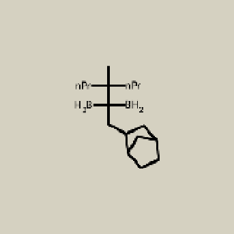 BC(B)(CC1CC2CCC1C2)C(C)(CCC)CCC